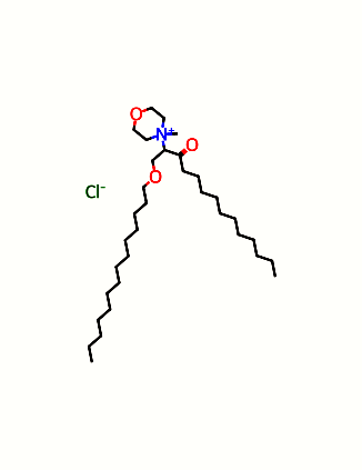 CCCCCCCCCCCCCCOCC(C(=O)CCCCCCCCCCC)[N+]1(C)CCOCC1.[Cl-]